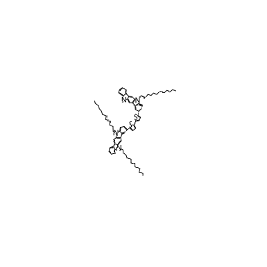 CCCCCCCCCCCCn1c2ccc(-c3ccc(-c4ccc(-c5ccc6c(c5)c5cc7c(cc5n6CCCCCCCCCCCC)c5ccccc5n7CCCCCCCCCCCC)s4)s3)cc2c2cc3c(cc21)c1ccccc1n3C